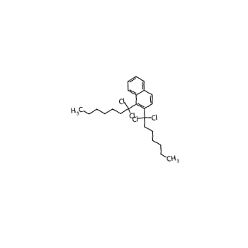 CCCCCCC(Cl)(Cl)c1ccc2ccccc2c1C(Cl)(Cl)CCCCCC